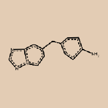 Nc1ccc(Cc2ccn3ncnc3c2)cc1